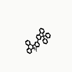 Cn1c2ccc(-c3ccc4c(c3)C(c3ccccc3)(c3ccccc3)c3ccccc3-4)cc2c2c3ccccc3c3ccccc3c21